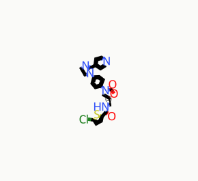 O=C(NC[C@H]1CN(c2ccc(N3CCN=C3c3ccncc3)cc2)C(=O)O1)c1ccc(Cl)s1